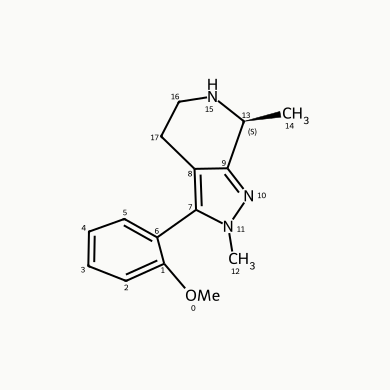 COc1ccccc1-c1c2c(nn1C)[C@H](C)NCC2